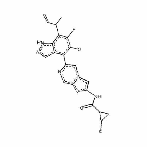 C=CC(C)c1c(F)c(Cl)c(-c2cn3cc(NC(=O)C4CC4F)nc3cn2)c2cn[nH]c12